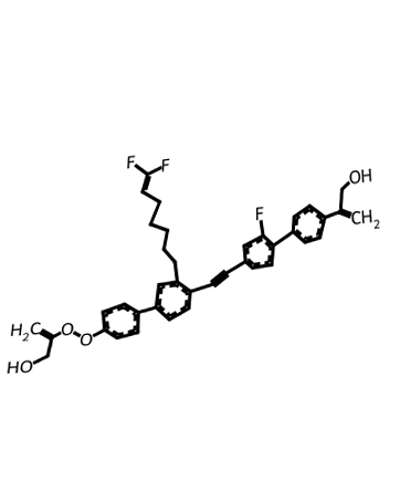 C=C(CO)OOc1ccc(-c2ccc(C#Cc3ccc(-c4ccc(C(=C)CO)cc4)c(F)c3)c(CCCCCC=C(F)F)c2)cc1